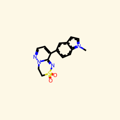 Cn1ccc2cc(C3=CC=NN4CCS(=O)(=O)N=C34)ccc21